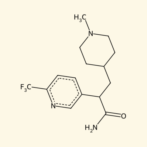 CN1CCC(CC(C(N)=O)c2ccc(C(F)(F)F)nc2)CC1